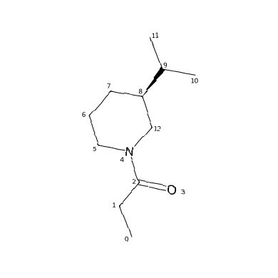 CCC(=O)N1CCC[C@@H](C(C)C)C1